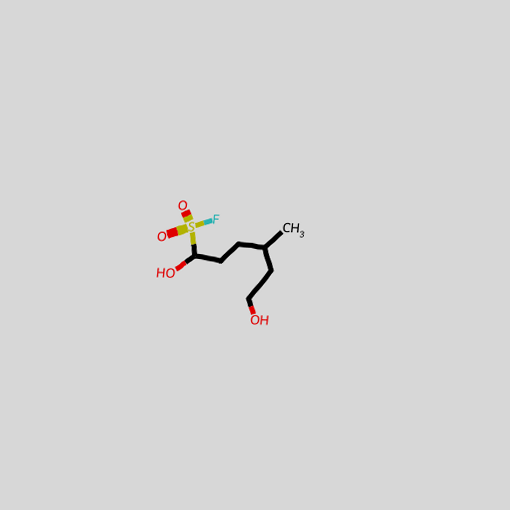 CC(CCO)CCC(O)S(=O)(=O)F